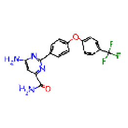 NC(=O)c1cc(N)nc(-c2ccc(Oc3ccc(C(F)(F)F)cc3)cc2)n1